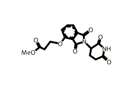 COC(=O)CCOc1cccc2c1C(=O)N(C1CCC(=O)NC1=O)C2=O